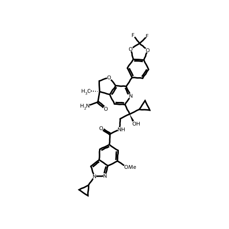 COc1cc(C(=O)NC[C@](O)(c2cc3c(c(-c4ccc5c(c4)OC(F)(F)O5)n2)OC[C@]3(C)C(N)=O)C2CC2)cc2cn(C3CC3)nc12